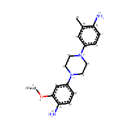 CCCCCOc1cc(N2CCN(c3ccc(N)c(C)c3)CC2)ccc1N